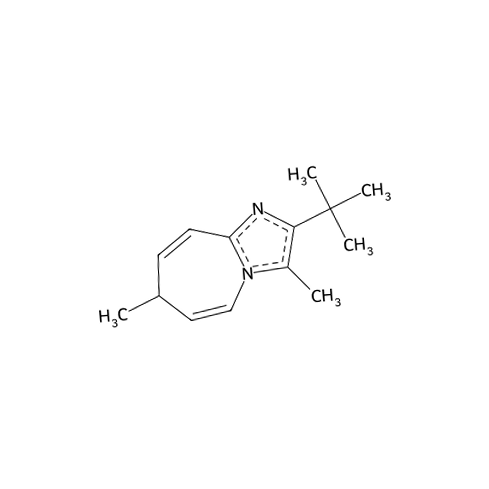 Cc1c(C(C)(C)C)nc2n1C=CC(C)C=C2